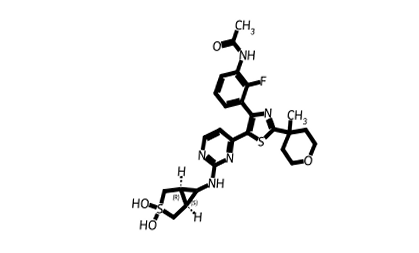 CC(=O)Nc1cccc(-c2nc(C3(C)CCOCC3)sc2-c2ccnc(NC3[C@H]4CS(O)(O)C[C@@H]34)n2)c1F